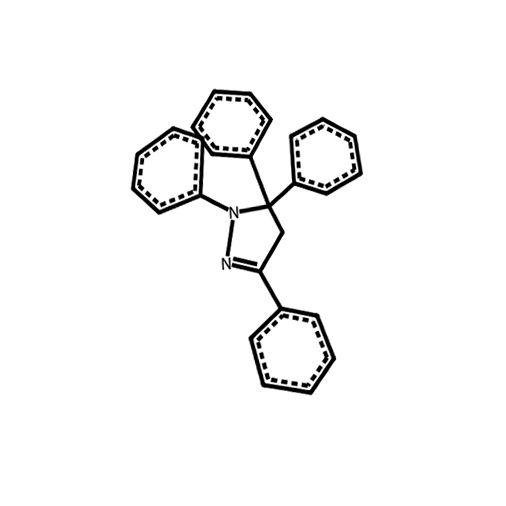 c1ccc(C2=NN(c3ccccc3)C(c3ccccc3)(c3ccccc3)C2)cc1